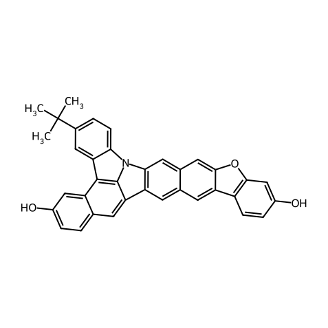 CC(C)(C)c1ccc2c(c1)c1c3cc(O)ccc3cc3c4cc5cc6c(cc5cc4n2c31)oc1cc(O)ccc16